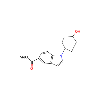 COC(=O)c1ccc2c(ccn2C2CCC(O)CC2)c1